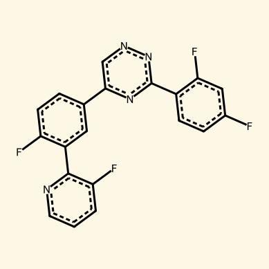 Fc1ccc(-c2nncc(-c3ccc(F)c(-c4ncccc4F)c3)n2)c(F)c1